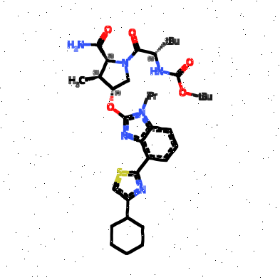 CC(C)n1c(O[C@H]2CN(C(=O)[C@@H](NC(=O)OC(C)(C)C)C(C)(C)C)[C@H](C(N)=O)[C@@H]2C)nc2c(-c3nc(C4CCCCC4)cs3)cccc21